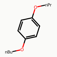 CCCCOc1ccc(OCCC)cc1